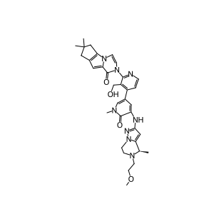 COCCN1CCn2nc(Nc3cc(-c4ccnc(-n5ccn6c7c(cc6c5=O)CC(C)(C)C7)c4CO)cn(C)c3=O)cc2[C@H]1C